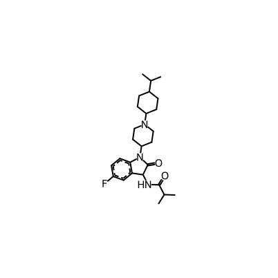 CC(C)C(=O)NC1C(=O)N(C2CCN(C3CCC(C(C)C)CC3)CC2)c2ccc(F)cc21